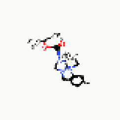 Cc1ccc(CN2CCN(C(=O)OC(C(F)(F)F)C(F)(F)F)CC2)c(NCC(=O)O)c1